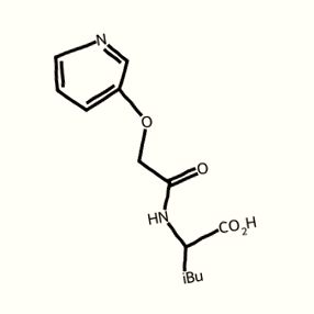 CCC(C)C(NC(=O)COc1cccnc1)C(=O)O